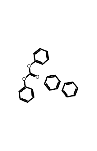 O=C(Oc1ccccc1)Oc1ccccc1.[c]1ccccc1.[c]1ccccc1